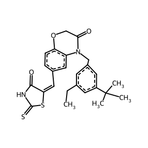 CCc1cc(CN2C(=O)COc3ccc(C=C4SC(=S)NC4=O)cc32)cc(C(C)(C)C)c1